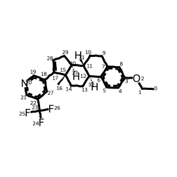 CCOc1ccc2c(c1)CC[C@@H]1[C@@H]2CC[C@]2(C)C(c3cncc(C(F)(F)F)c3)=CC[C@@H]12